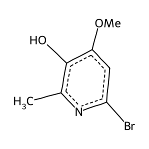 COc1cc(Br)nc(C)c1O